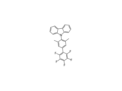 Cc1cc(-c2c(F)c(F)c(F)c(F)c2F)cc(C)c1-n1c2ccccc2c2ccccc21